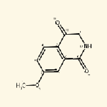 COc1ccc2c(c1)C(=O)NCC2=O